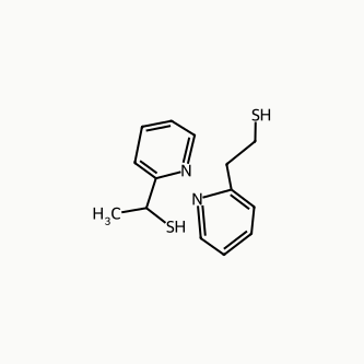 CC(S)c1ccccn1.SCCc1ccccn1